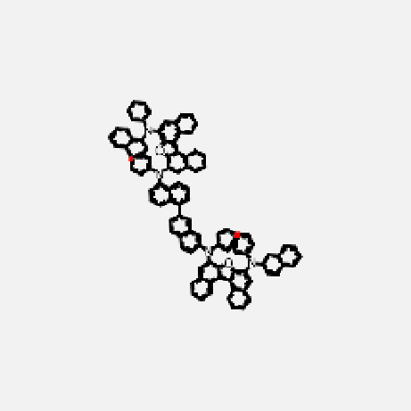 c1ccc(N(c2ccc3ccccc3c2)c2cc3ccccc3c3c2oc2c(N(c4ccccc4)c4ccc5ccc(-c6cccc7c(N(c8ccccc8)c8cc9ccccc9c9c8oc8c(N(c%10ccccc%10)c%10cccc%11ccccc%10%11)cc%10ccccc%10c89)cccc67)cc5c4)cc4ccccc4c23)cc1